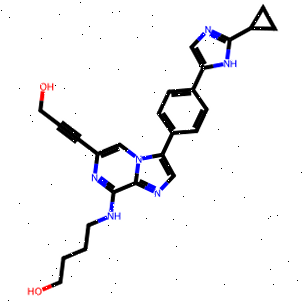 OCC#Cc1cn2c(-c3ccc(-c4cnc(C5CC5)[nH]4)cc3)cnc2c(NCCCCO)n1